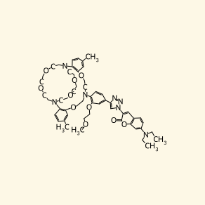 CCN(CC)c1ccc2cc(-n3cc(-c4ccc(N5CCOc6cc(C)ccc6N6CCOCCOCCN(CCOCCOCC6)c6ccc(C)cc6OCC5)c(OCCOC)c4)nn3)c(=O)oc2c1